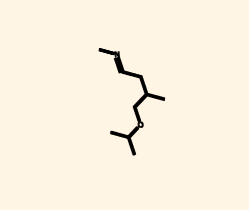 C/N=C/CC(C)COC(C)C